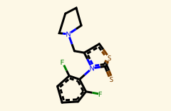 Fc1cccc(F)c1-n1c(CN2CCCC2)csc1=S